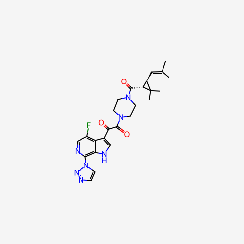 CC(C)=C[C@@H]1[C@@H](C(=O)N2CCN(C(=O)C(=O)c3c[nH]c4c(-n5ccnn5)ncc(F)c34)CC2)C1(C)C